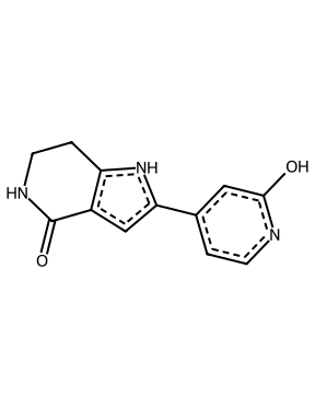 O=C1NCCc2[nH]c(-c3ccnc(O)c3)cc21